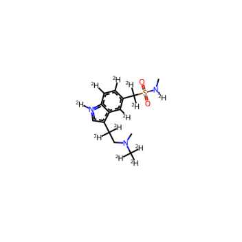 [2H]c1c(C([2H])([2H])S(=O)(=O)N([2H])C)c([2H])c2c(C([2H])([2H])CN(C)C([2H])([2H])[2H])cn([2H])c2c1[2H]